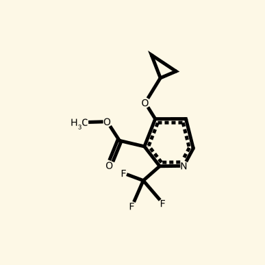 COC(=O)c1c(OC2CC2)ccnc1C(F)(F)F